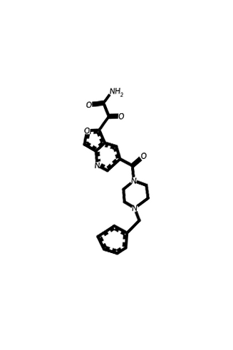 NC(=O)C(=O)c1occ2ncc(C(=O)N3CCN(Cc4ccccc4)CC3)cc12